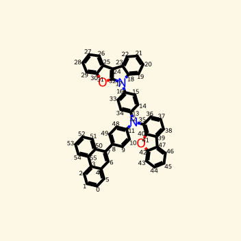 c1ccc2c(c1)cc(-c1ccc(N(c3ccc(-n4c5ccccc5c5c6ccccc6oc54)cc3)c3cccc4c3oc3ccccc34)cc1)c1ccccc12